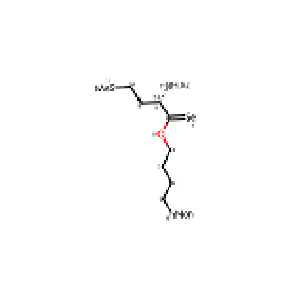 CCCCCCCCCCCCCOC(=[Se])[C@H](CCSC)NC(C)=O